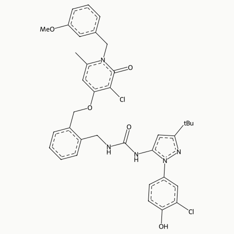 COc1cccc(Cn2c(C)cc(OCc3ccccc3CNC(=O)Nc3cc(C(C)(C)C)nn3-c3ccc(O)c(Cl)c3)c(Cl)c2=O)c1